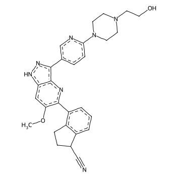 COc1cc2[nH]nc(-c3ccc(N4CCN(CCO)CC4)nc3)c2nc1-c1cccc2c1CCC2C#N